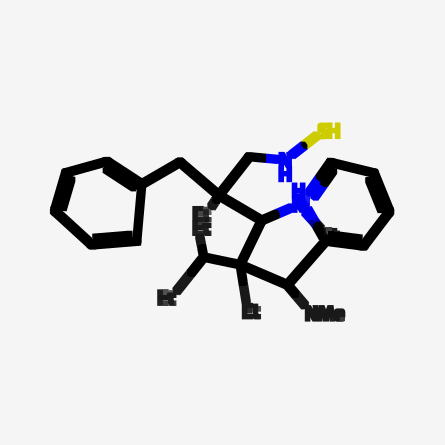 CCNC(C(CC)(CNS)Cc1ccccc1)C(CC)(C(CC)CC)C(NC)c1ccccn1